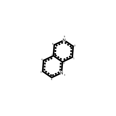 [c]1cc2ncccc2cn1